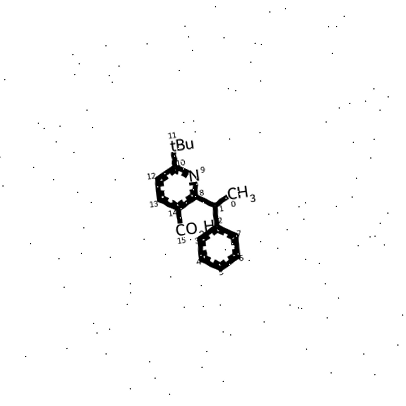 CC(c1ccccc1)c1nc(C(C)(C)C)ccc1C(=O)O